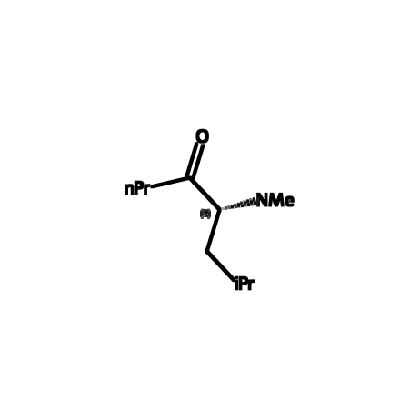 CCCC(=O)[C@@H](CC(C)C)NC